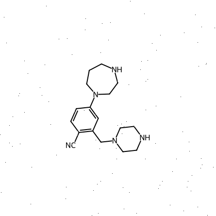 N#Cc1ccc(N2CCCNCC2)cc1CN1CCNCC1